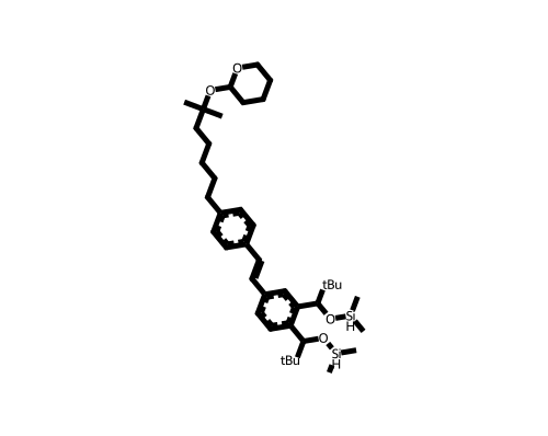 C[SiH](C)OC(c1ccc(C=Cc2ccc(CCCCCC(C)(C)OC3CCCCO3)cc2)cc1C(O[SiH](C)C)C(C)(C)C)C(C)(C)C